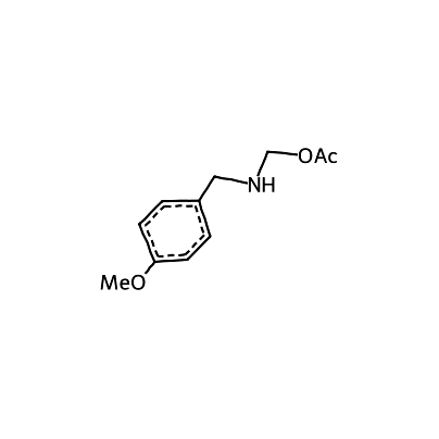 COc1ccc(CNCOC(C)=O)cc1